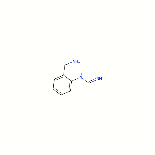 N=CNc1ccccc1CN